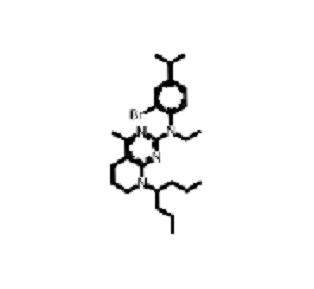 CCCC(CCC)N1CCCc2c(C)nc(N(CC)c3ccc(C(C)C)cc3Br)nc21